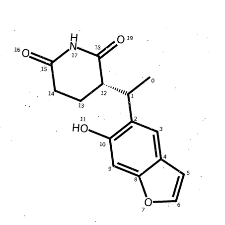 CC(c1cc2ccoc2cc1O)[C@@H]1CCC(=O)NC1=O